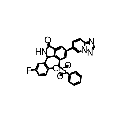 O=C1NC(c2cc(F)ccc2Cl)c2c(CS(=O)(=O)c3ccccc3)cc(-c3ccc4ncnn4c3)cc21